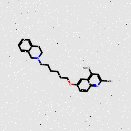 CCCCc1cc(OC)c2cc(OCCCCCCN3CCc4ccccc4C3)ccc2n1